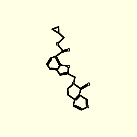 O=C(OCC1CC1)c1cccc2cc(CN3CCc4ccncc4C3=O)oc12